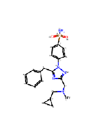 CCCN(Cc1nc(Cc2ccccc2)n(-c2ccc(S(N)(=O)=O)cc2)n1)CC1CC1